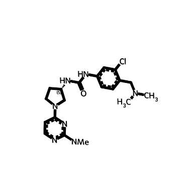 CNc1nccc(N2CC[C@H](NC(=O)Nc3ccc(CN(C)C)c(Cl)c3)C2)n1